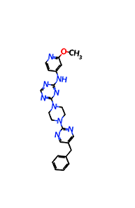 COc1cc(Nc2ncnc(N3CCN(c4ncc(Cc5ccccc5)cn4)CC3)n2)ccn1